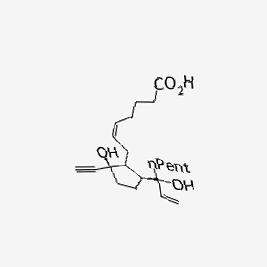 C#C[C@@]1(O)CC[C@H](C(O)(C=C)CCCCC)C1C/C=C\CCCC(=O)O